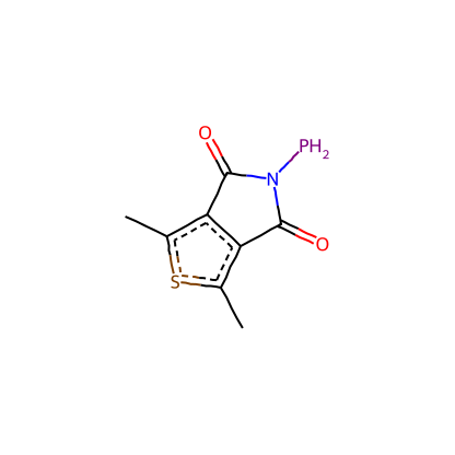 Cc1sc(C)c2c1C(=O)N(P)C2=O